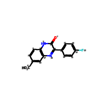 O=C(O)c1ccc2[nH]c(=O)c(-c3ccc(F)cc3)nc2c1